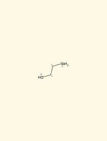 OC[CH2][SbH2]